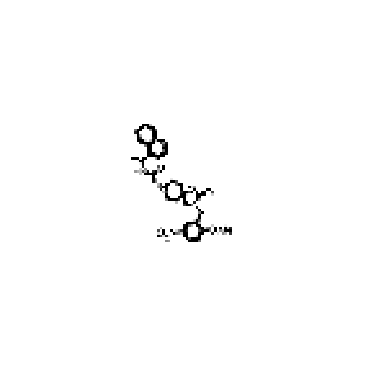 COc1ccc([N+](=O)[O-])cc1CN1CC2(CCN(OC(=O)NC(C)c3cccc4ccccc34)CC2)OC1=O